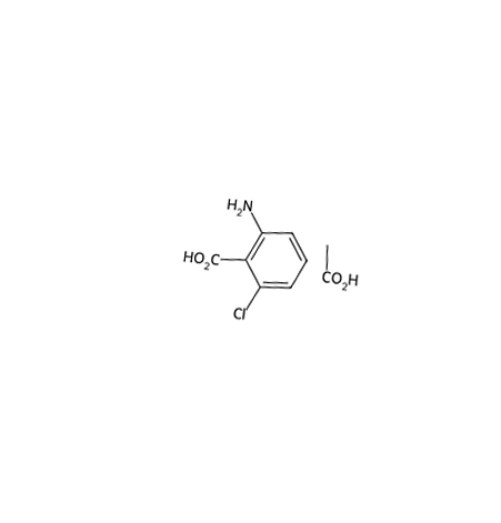 CC(=O)O.Nc1cccc(Cl)c1C(=O)O